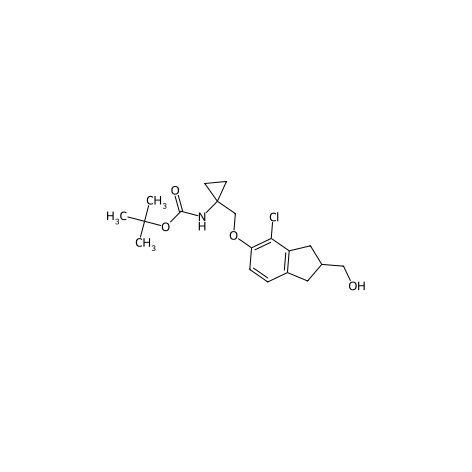 CC(C)(C)OC(=O)NC1(COc2ccc3c(c2Cl)CC(CO)C3)CC1